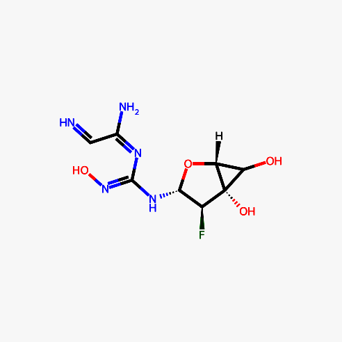 N=C/C(N)=N\C(=N/O)N[C@@H]1O[C@@H]2C(O)[C@@]2(O)[C@H]1F